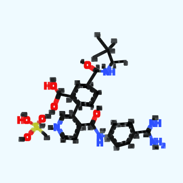 CC(NC(=O)c1ccc(-c2cnccc2C(=O)Nc2ccc(C(=N)N)cc2)c(C(=O)O)c1)C(C)(C)C.CS(=O)(=O)O